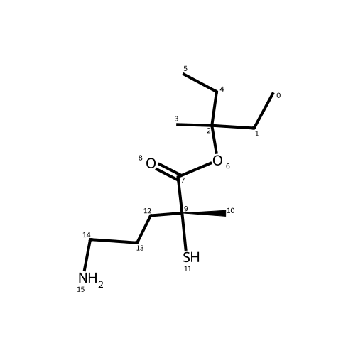 CCC(C)(CC)OC(=O)[C@](C)(S)CCCN